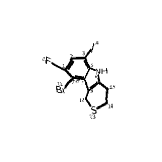 Fc1cc(I)c2[nH]c3c(c2c1Br)CSCC3